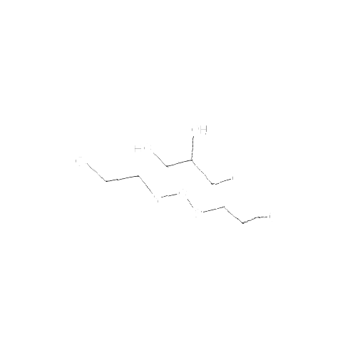 ClCCSOSCCCl.OCC(O)CCl